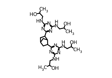 CC(O)CNc1nc(NCC(C)O)nc(C2CC3CC(c4nc(NCC(C)O)nc(NCC(C)O)n4)C2C3)n1